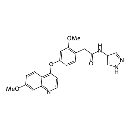 COc1ccc2c(Oc3ccc(CC(=O)Nc4cn[nH]c4)c(OC)c3)ccnc2c1